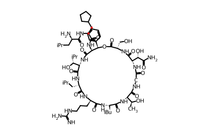 CC[C@H](C)[C@@H]1NC(=O)[C@@H](CCCNC(=N)N)NC(=O)[C@H](CC(C)C)NC(=O)[C@H]([C@H](O)C(C)C)NC(=O)[C@@H](NC(=O)[C@H](CC2CCCC2)NC(=O)[C@H](N)CC(C)C)[C@@H](c2ccccc2)OC(=O)[C@H](CO)NC(=O)[C@H]([C@H](O)C(N)=O)NC(=O)CNC(=O)[C@H]([C@H](C)O)NC1=O